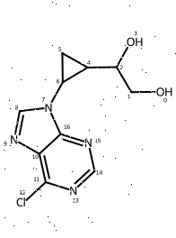 OCC(O)C1CC1n1cnc2c(Cl)ncnc21